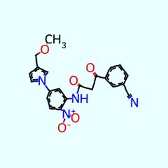 COCc1ccn(-c2ccc([N+](=O)[O-])c(NC(=O)CC(=O)c3cccc(C#N)c3)c2)c1